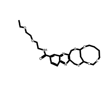 CCOCCOCCNC(=O)c1ccc2nc3c(nc2c1)CSC1CCCCCCCCC(C1)SC3